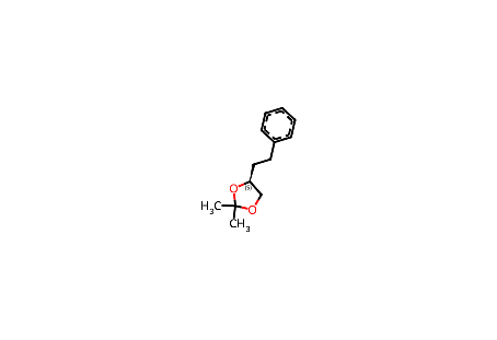 CC1(C)OC[C@H](CCc2ccccc2)O1